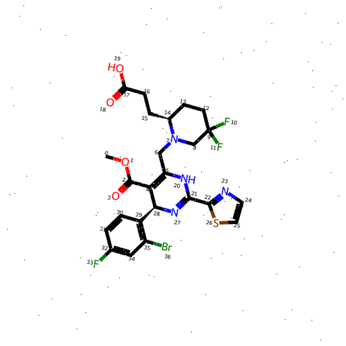 COC(=O)C1=C(CN2CC(F)(F)CC[C@@H]2CCC(=O)O)NC(c2nccs2)=N[C@H]1c1ccc(F)cc1Br